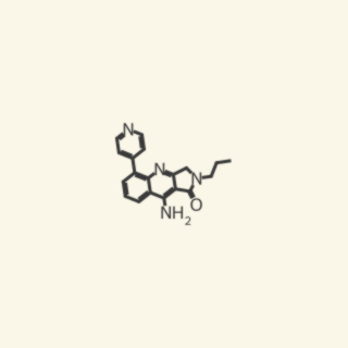 CCCN1Cc2nc3c(-c4ccncc4)cccc3c(N)c2C1=O